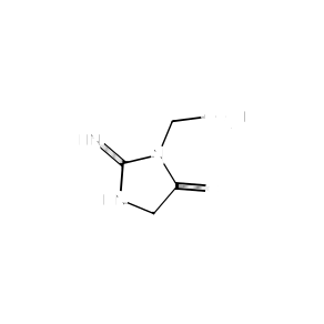 N=C1NCC(=O)N1CC(=O)O